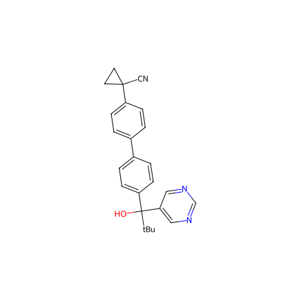 CC(C)(C)C(O)(c1ccc(-c2ccc(C3(C#N)CC3)cc2)cc1)c1cncnc1